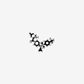 CN[C@@H](CC(C)C)C(=O)N1CCC(N(C2CC2)S(=O)(=O)c2ccc(C(F)(F)F)cc2)CC1